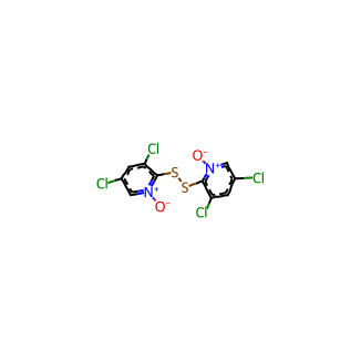 [O-][n+]1cc(Cl)cc(Cl)c1SSc1c(Cl)cc(Cl)c[n+]1[O-]